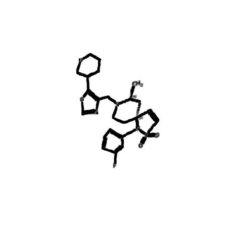 C[C@H]1C[C@@]2(C=CS(=O)(=O)N2c2cccc(F)c2)CCN1Cc1ncoc1C1CCCOC1